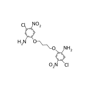 Nc1cc(Cl)c([N+](=O)[O-])cc1OCCCCOc1cc([N+](=O)[O-])c(Cl)cc1N